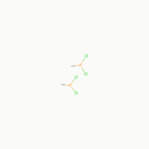 CP(Cl)Cl.CP(Cl)Cl